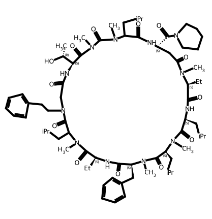 CC[C@@H]1NC(=O)[C@H](Cc2ccccc2)N(C)C(=O)[C@H](CC(C)C)N(C)C(=O)[C@H](CC(C)C)NC(=O)[C@H](CC)N(C)C(=O)C[C@@H](C(=O)N2CCCCC2)NC(=O)C(CC(C)C)N(C)C(=O)N(C)C(=O)[C@H]([C@@H](C)O)NC(=O)CN(CCc2ccccc2)C(=O)C(CC(C)C)N(C)C1=O